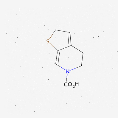 O=C(O)N1C=C2SCC=C2CC1